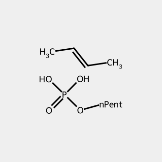 CC=CC.CCCCCOP(=O)(O)O